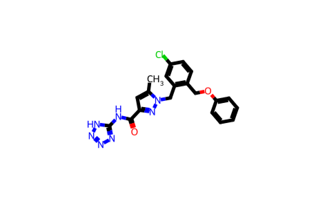 Cc1cc(C(=O)Nc2nnn[nH]2)nn1Cc1cc(Cl)ccc1COc1ccccc1